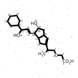 CC(COCC(=O)O)C1=CC2C[C@@H](O)[C@H](/C=C/C(O)C3CCCCC3)C2C1